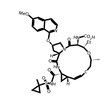 CC[C@@H]1O[C@H](C)CC/C=C\[C@@H]2C[C@@]2(C(=O)NS(=O)(=O)C2(C)CC2)NC(=O)[C@@H]2C[C@@H](Oc3nccc4cc(OC)ccc34)CN2C(=O)[C@H]1NC(=O)O